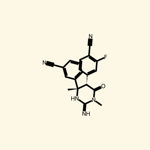 CN1C(=N)N[C@](C)(c2cccc(C#N)c2)[C@H](c2ccc(C#N)c(F)c2)C1=O